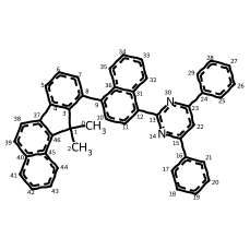 CC1(C)c2c(cccc2-c2ccc(-c3nc(-c4ccccc4)cc(-c4ccccc4)n3)c3ccccc23)-c2ccc3ccccc3c21